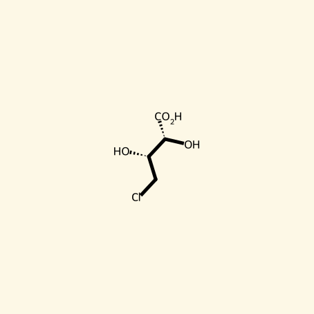 O=C(O)[C@H](O)[C@@H](O)CCl